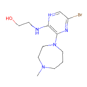 CN1CCCN(c2nc(Br)cnc2NCCO)CC1